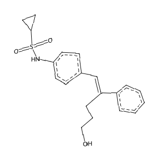 O=S(=O)(Nc1ccc(/C=C(\CCCO)c2ccccc2)cc1)C1CC1